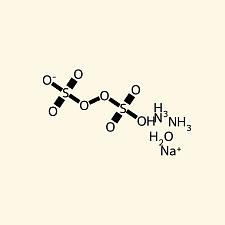 N.N.O.O=S(=O)([O-])OOS(=O)(=O)O.[Na+]